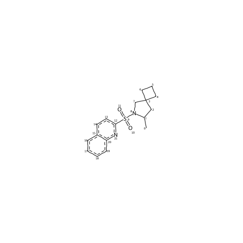 CC1CC2(CCC2)CN1S(=O)(=O)c1ccc2ccccc2n1